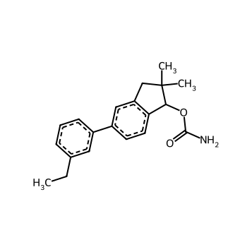 CCc1cccc(-c2ccc3c(c2)CC(C)(C)C3OC(N)=O)c1